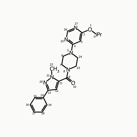 CC(C)Oc1cc(N2CCN(C(=O)c3cc(-c4ccccc4)nn3C)CC2)ncn1